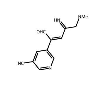 CNCC(=N)/C=C(\C=O)c1cncc(C#N)c1